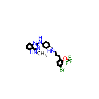 CNc1nc(N[C@H]2CC[C@@H](CNCCCc3ccc(Br)cc3OC(F)(F)F)CC2)nc2ccccc12